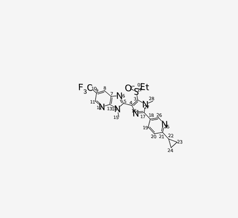 CC[S+]([O-])c1c(-c2nc3cc(C(F)(F)F)cnc3n2C)nc(-c2ccc(C3CC3)nc2)n1C